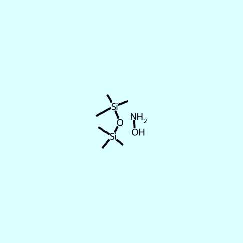 C[Si](C)(C)O[Si](C)(C)C.NO